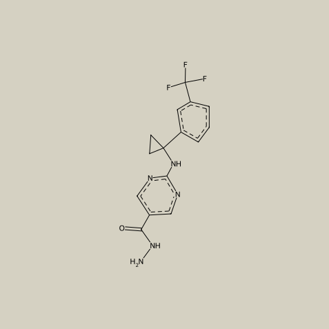 NNC(=O)c1cnc(NC2(c3cccc(C(F)(F)F)c3)CC2)nc1